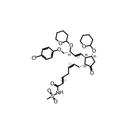 CS(=O)(=O)NC(=O)/C=C/C/C=C\C[C@H]1C(=O)C[C@@H](OC2CCCCO2)[C@@H]1/C=C/[C@H](COc1ccc(Cl)cc1)OC1CCCCO1